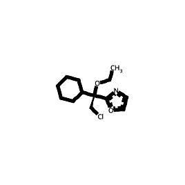 CCO[C@](CCl)(c1ncco1)C1CCCCC1